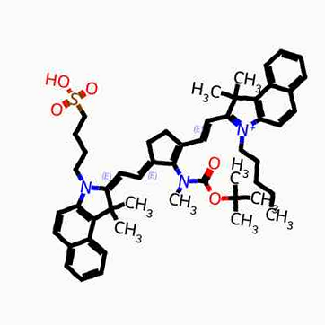 CCCCC[N+]1=C(/C=C/C2=C(N(C)C(=O)OC(C)(C)C)C(=C/C=C3/N(CCCCS(=O)(=O)O)c4ccc5ccccc5c4C3(C)C)/CC2)C(C)(C)c2c1ccc1ccccc21